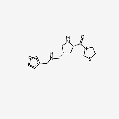 O=C([C@@H]1C[C@H](CNCc2ccsc2)CN1)N1CCSC1